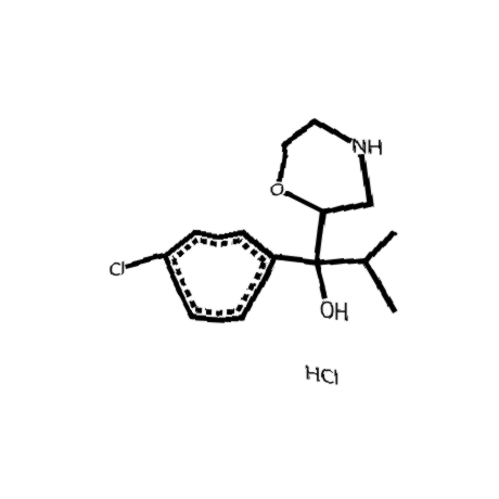 CC(C)C(O)(c1ccc(Cl)cc1)C1CNCCO1.Cl